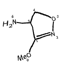 COC1=NOCC1N